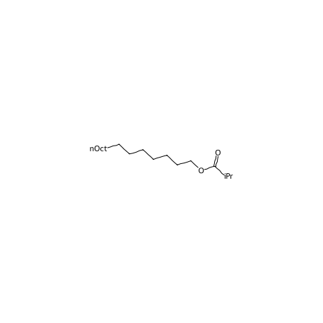 CCCCCCCCCCCCCCCOC(=O)C(C)C